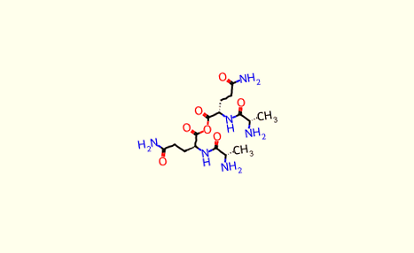 C[C@H](N)C(=O)N[C@@H](CCC(N)=O)C(=O)OC(=O)[C@H](CCC(N)=O)NC(=O)[C@H](C)N